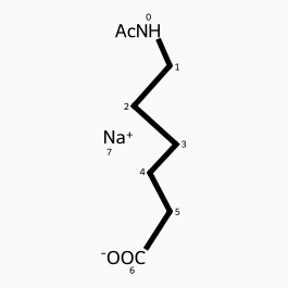 CC(=O)NCCCCCC(=O)[O-].[Na+]